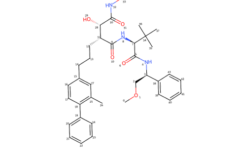 COC[C@@H](NC(=O)[C@@H](NC(=O)[C@H](CCCc1ccc(-c2ccccc2)c(C)c1)[C@H](O)C(=O)NO)C(C)(C)C)c1ccccc1